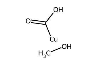 CO.O=[C](O)[Cu]